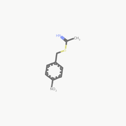 CC(=N)SCc1ccc([N+](=O)[O-])cc1